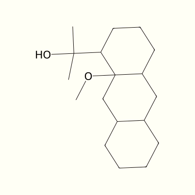 COC12CC3CCCCC3CC1CCCC2C(C)(C)O